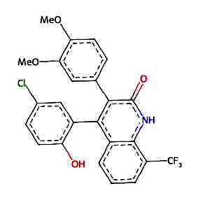 COc1ccc(-c2c(-c3cc(Cl)ccc3O)c3cccc(C(F)(F)F)c3[nH]c2=O)cc1OC